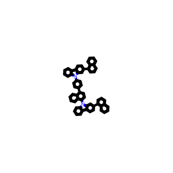 c1ccc2c(-c3ccc4c5ccccc5n(-c5ccc(-c6ccc(-n7c8ccccc8c8ccc(-c9cccc%10ccccc9%10)cc87)c7ccccc67)cc5)c4c3)cccc2c1